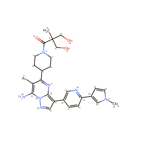 CC(=O)c1c(C2CCN(C(=O)C(C)(CO)CO)CC2)nc2c(-c3ccc(-c4ccn(C)c4)nc3)cnn2c1N